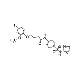 COc1cc(F)ccc1OCCCC(=O)Nc1ccc(S(=O)(=O)Nc2nccs2)cc1